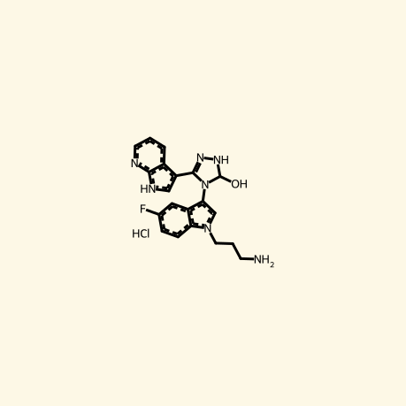 Cl.NCCCn1cc(N2C(c3c[nH]c4ncccc34)=NNC2O)c2cc(F)ccc21